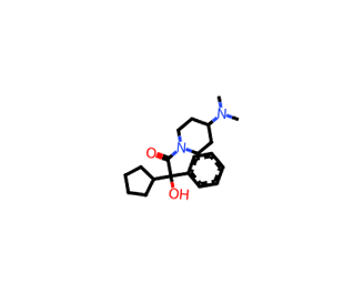 CN(C)C1CCN(C(=O)C(O)(c2ccccc2)C2CCCC2)CC1